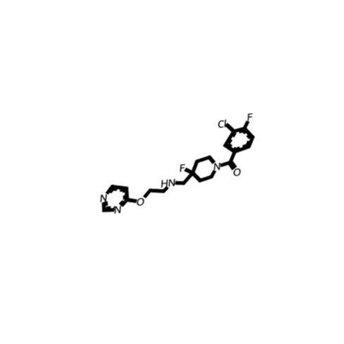 O=C(c1ccc(F)c(Cl)c1)N1CCC(F)(CNCCOc2ccncn2)CC1